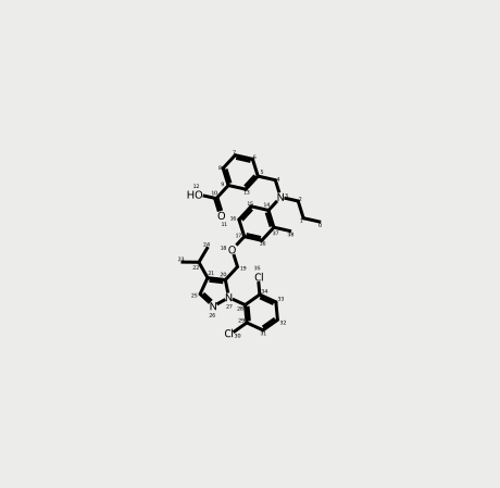 CCCN(Cc1cccc(C(=O)O)c1)c1ccc(OCc2c(C(C)C)cnn2-c2c(Cl)cccc2Cl)cc1C